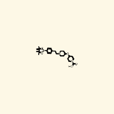 CC1(C)OB(c2ccc(CCN3CCC(OC4CCN(C(=O)O)CC4)CC3)cc2)OC1(C)C